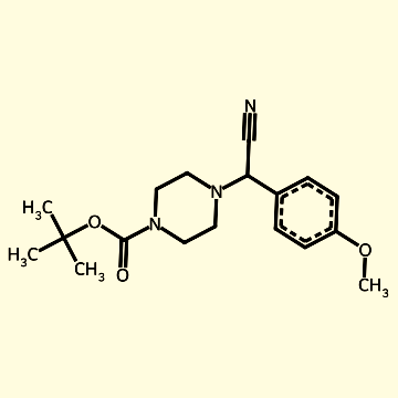 COc1ccc(C(C#N)N2CCN(C(=O)OC(C)(C)C)CC2)cc1